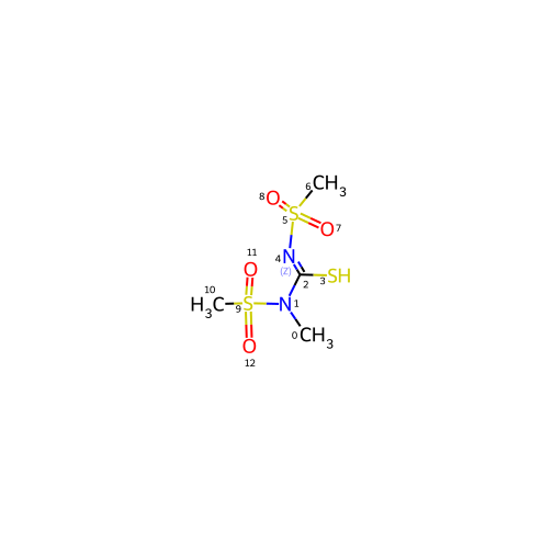 CN(/C(S)=N/S(C)(=O)=O)S(C)(=O)=O